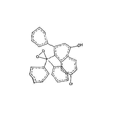 Oc1cc(-c2ccccc2)c(P2(c3ccccc3)(c3ccccc3)OO2)c2cc(Cl)ccc12